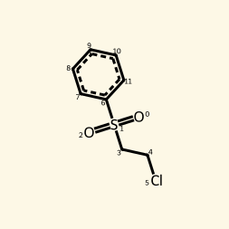 O=S(=O)(CCCl)c1cc[c]cc1